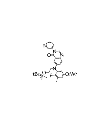 COc1cc(C)c(F)c(N(CCO[Si](C)(C)C(C)(C)C)c2ccc3ncn(-c4cccnc4)c(=O)c3c2)c1